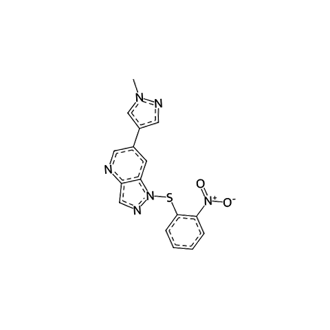 Cn1cc(-c2cnc3cnn(Sc4ccccc4[N+](=O)[O-])c3c2)cn1